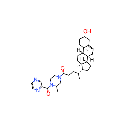 CC(CCC(=O)N1CCN(C(=O)c2cnccn2)C(C)C1)[C@H]1CC[C@H]2[C@@H]3CC=C4C[C@@H](O)CC[C@]4(C)[C@H]3CC[C@]12C